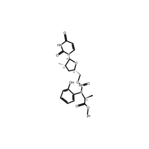 CC(C)OC(=O)[C@H](C)N(c1ccccc1O)[PH](=O)OC[C@@H]1C[C@H](C)[C@H](n2ccc(=O)[nH]c2=O)O1